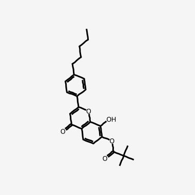 CCCCCc1ccc(-c2cc(=O)c3ccc(OC(=O)C(C)(C)C)c(O)c3o2)cc1